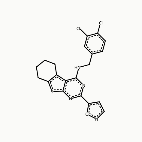 Clc1ccc(CNc2nc(-c3ccno3)nc3sc4c(c23)CCCC4)cc1Cl